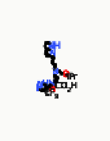 CC(C)OCCN(CCCCc1ccc2c(n1)NCCC2)CC[C@H](NC(=O)c1cnncc1C(F)(F)F)C(=O)O